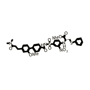 COC(=O)[C@H](CSc1ccccc1)Nc1ccc(S(=O)(=O)NC(=O)c2ccc(-c3ccc(CCC(=O)N(C)C)cc3OC)cc2)cc1[N+](=O)[O-]